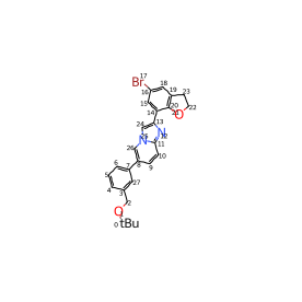 CC(C)(C)OCc1cccc(-c2ccc3nc(-c4cc(Br)cc5c4OCC5)cn3c2)c1